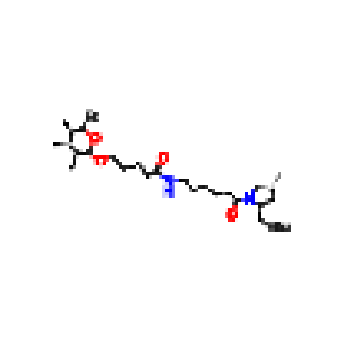 CCC1O[C@@H](OCCCCC(=O)NCCCCCC(=O)N2C[C@H](C)C[C@H]2CC(C)(C)C)C(C)[C@@H](C)[C@H]1C